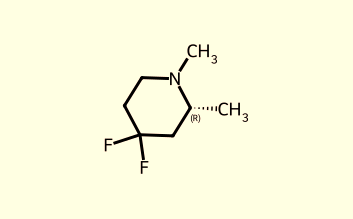 C[C@@H]1CC(F)(F)CCN1C